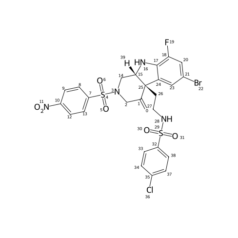 C=C1CN(S(=O)(=O)c2ccc([N+](=O)[O-])cc2)C[C@@H]2Nc3c(F)cc(Br)cc3[C@]12CCNS(=O)(=O)c1ccc(Cl)cc1